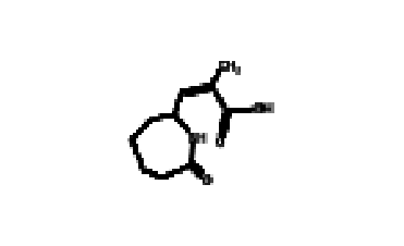 CC(=CC1CCCCC(=O)N1)C(=O)O